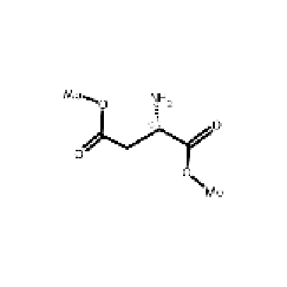 N[C@@H](CC(=O)[O][Mo])C(=O)[O][Mo]